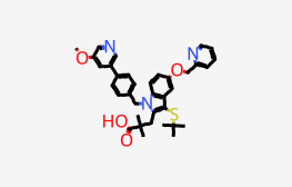 COc1cncc(-c2ccc(Cn3c(CC(C)(C)C(=O)O)c(SC(C)(C)C)c4cc(OCc5ccccn5)ccc43)cc2)c1